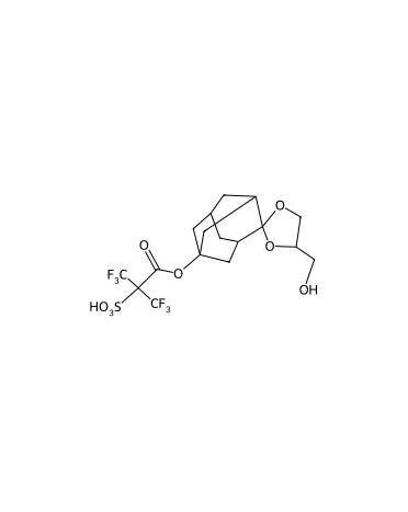 O=C(OC12CC3CC(C1)C1(OCC(CO)O1)C(C3)C2)C(C(F)(F)F)(C(F)(F)F)S(=O)(=O)O